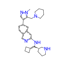 Cn1ncc(-c2ccc3cnc(NC(=C4CCC4)[C@@H]4CCCNC4)cc3c2)c1CN1CCCCC1